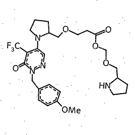 COc1ccc(Cn2ncc(N3CCCC3COCCC(=O)OCOCC3CCCN3)c(C(F)(F)F)c2=O)cc1